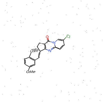 COc1ccc(OC)c(C=C2CCc3c2nc2ccc(Cl)cn2c3=O)c1